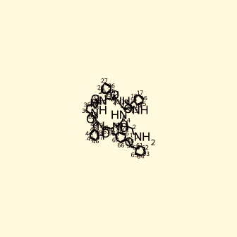 NCCCC[C@@H]1NC(=O)[C@@H](Cc2c[nH]c3ccccc23)NC(=O)[C@H](c2ccccc2)NC(=O)[C@@H]2CCCCN2C(=O)[C@H](Cc2ccccc2)NC(=O)[C@H](Cc2ccc(OCc3ccccc3)cc2)NC1=O